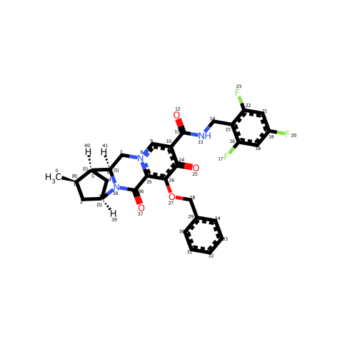 C[C@@H]1C[C@H]2C[C@@H]1[C@H]1Cn3cc(C(=O)NCc4c(F)cc(F)cc4F)c(=O)c(OCc4ccccc4)c3C(=O)N21